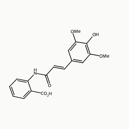 COc1cc(C=CC(=O)Nc2ccccc2C(=O)O)cc(OC)c1O